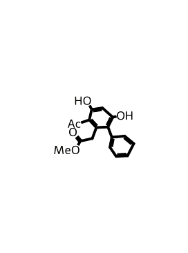 COC(=O)Cc1c(C(C)=O)c(O)cc(O)c1-c1ccccc1